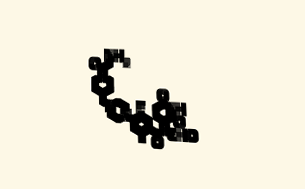 Cc1cc(N2CCN(CC3CCN(C(=O)CN)CC3)CC2)c(F)cc1C(=O)N(C=O)C1CCC(=O)NC1=O